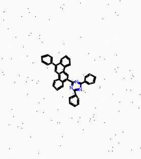 c1ccc(-c2nc(-c3ccccc3)nc(-c3cc4c5ccccc5c(-c5ccccc5)cc4c4ccccc34)n2)cc1